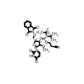 COC1[C@@H](OP(OCCC#N)N(C(C)C)C(C)C)[C@@H](CON2C(=O)c3ccccc3C2=O)O[C@H]1n1ccc(=O)[nH]c1=O